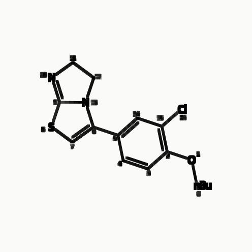 CCCCOc1ccc(C2=CSC3=NCCN23)cc1Cl